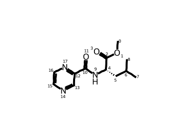 COC(=O)[C@H](CC(C)C)NC(=O)c1cnccn1